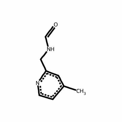 Cc1ccnc(CNC=O)c1